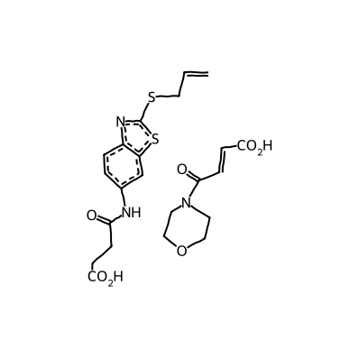 C=CCSc1nc2ccc(NC(=O)CCC(=O)O)cc2s1.O=C(O)C=CC(=O)N1CCOCC1